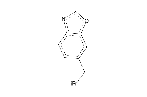 CC(C)Cc1ccc2ncoc2c1